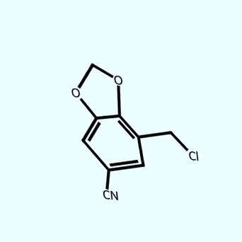 N#Cc1cc(CCl)c2c(c1)OCO2